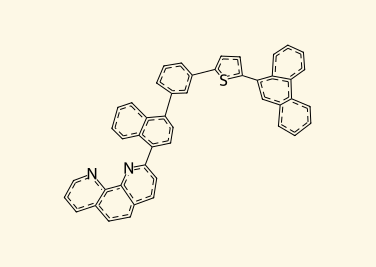 c1cc(-c2ccc(-c3cc4ccccc4c4ccccc34)s2)cc(-c2ccc(-c3ccc4ccc5cccnc5c4n3)c3ccccc23)c1